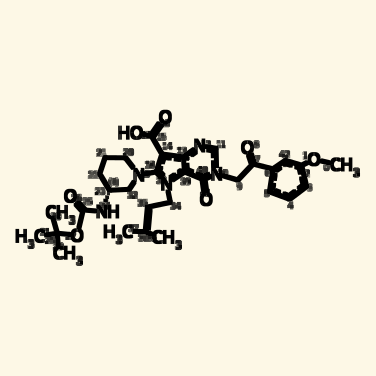 COc1cccc(C(=O)Cn2cnc3c(C(=O)O)c(N4CCC[C@@H](NC(=O)OC(C)(C)C)C4)n(CC=C(C)C)c3c2=O)c1